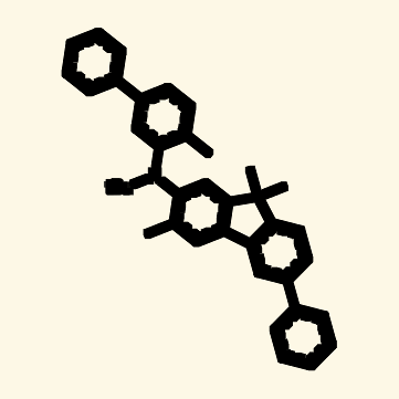 Cc1ccc(-c2ccccc2)cc1N(c1cc2c(cc1C)-c1cc(-c3ccccc3)ccc1C2(C)C)C(C)(C)C